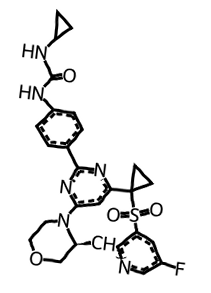 C[C@H]1COCCN1c1cc(C2(S(=O)(=O)c3cncc(F)c3)CC2)nc(-c2ccc(NC(=O)NC3CC3)cc2)n1